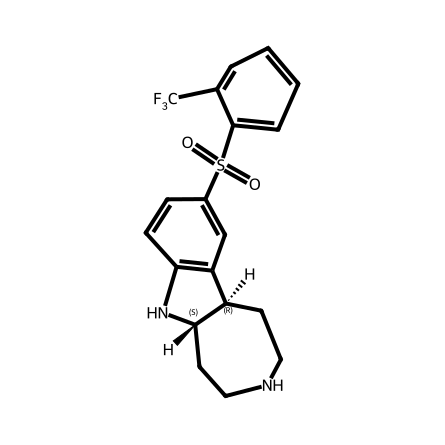 O=S(=O)(c1ccc2c(c1)[C@H]1CCNCC[C@@H]1N2)c1ccccc1C(F)(F)F